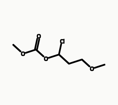 COCCC(Cl)OC(=O)OC